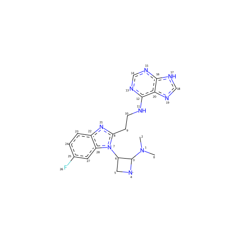 CN(C)C1[N]CC1n1c(CCNc2ncnc3[nH]cnc23)nc2ccc(F)cc21